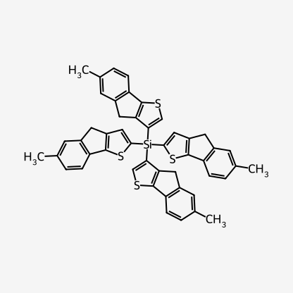 Cc1ccc2c(c1)Cc1cc([Si](c3cc4c(s3)-c3ccc(C)cc3C4)(c3csc4c3Cc3cc(C)ccc3-4)c3csc4c3Cc3cc(C)ccc3-4)sc1-2